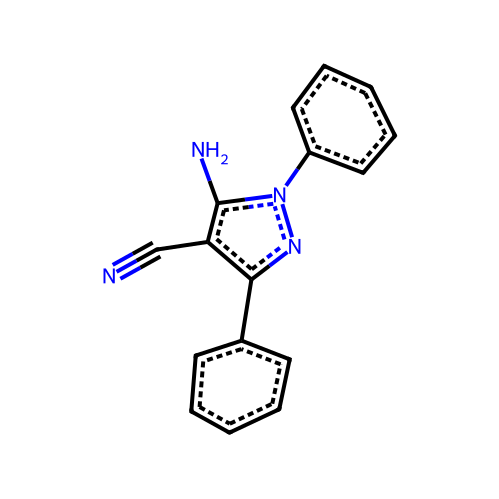 N#Cc1c(-c2ccccc2)nn(-c2ccccc2)c1N